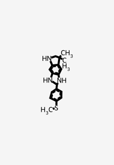 CSc1ccc(C2Nc3cc4c(cc3N2)C(C)(C)CN4)cc1